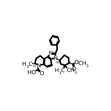 COC(=O)[C@@H]1CC[C@H](n2c(Cc3ccccc3)nc3c4c(ccc32)N(C(=O)O)[C@@H](C)CC4)CC1(C)C